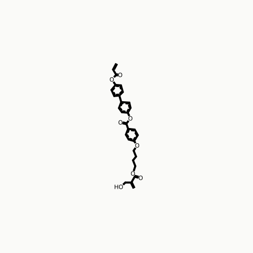 C=CC(=O)Oc1ccc(-c2ccc(OC(=O)c3ccc(OCCCCOC(=O)C(=C)CO)cc3)cc2)cc1